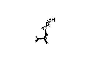 B=BOCC(C)CC